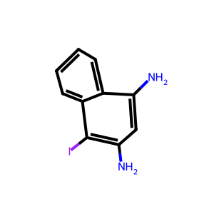 Nc1cc(N)c2ccccc2c1I